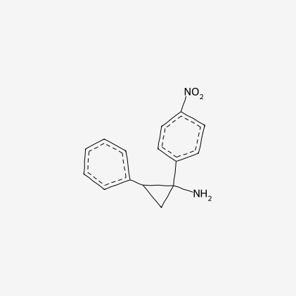 NC1(c2ccc([N+](=O)[O-])cc2)CC1c1ccccc1